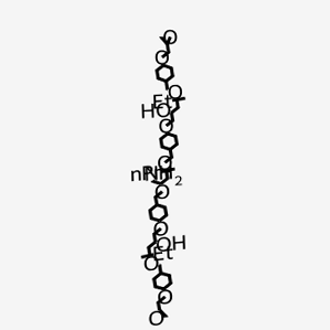 CCCC(C)(CC(CN)OCC1CCC(OCC(O)CC(C)(CC)OCC2CCC(OCC3CO3)CC2)CC1)OCC1CCC(OCC(O)CC(C)(CC)OCC2CCC(OCC3CO3)CC2)CC1